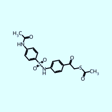 CC(=O)Nc1ccc(S(=O)(=O)Nc2ccc(C(=O)CSC(C)=O)cc2)cc1